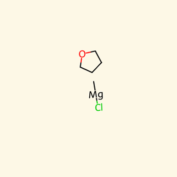 C1CCOC1.[CH3][Mg][Cl]